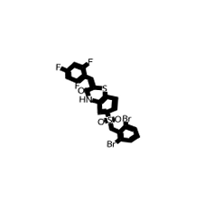 O=C1Nc2cc(S(=O)(=O)Cc3c(Br)cccc3Br)ccc2S/C1=C/c1c(F)cc(F)cc1F